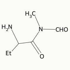 CCC(N)C(=O)N(C)C=O